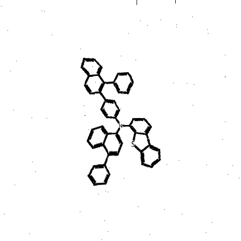 c1ccc(-c2c(-c3ccc(N(c4ccc(-c5ccccc5)c5ccccc45)c4cccc5c4sc4ccccc45)cc3)ccc3ccccc23)cc1